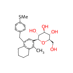 CSc1ccc(Cc2cc([C@@H]3O[C@H](CO)[C@@H](O)[C@H](O)[C@H]3O)c(C)c3c2CCCC3)cc1